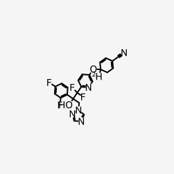 [2H]C1(Oc2ccc(C(F)(F)C(O)(Cn3cncn3)c3ccc(F)cc3F)nc2)C=CC(C#N)=CC1